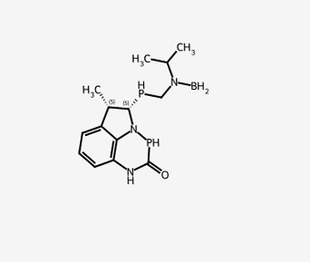 BN(CP[C@H]1[C@@H](C)c2cccc3c2N1PC(=O)N3)C(C)C